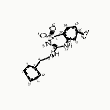 O=S1(=O)N=C(NCc2ccccc2)Nc2cc(Cl)ccc21